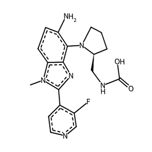 Cn1c(-c2ccncc2F)nc2c(N3CCC[C@H]3CNC(=O)O)c(N)ccc21